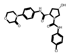 O=C(Nc1ccc(N2CCOCC2=O)cc1)[C@H]1C[C@H](O)CN1C(=O)Nc1ccc(Cl)cc1